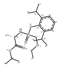 CCOCP(=O)(N[C@@H](C)C(=O)OC(C)C)Oc1c(C(C)C)cccc1C(C)C